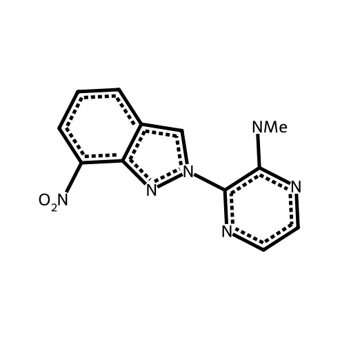 CNc1nccnc1-n1cc2cccc([N+](=O)[O-])c2n1